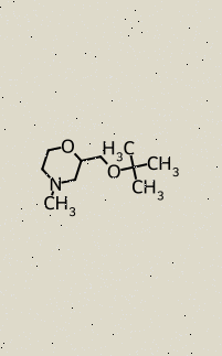 CN1CCOC(COC(C)(C)C)C1